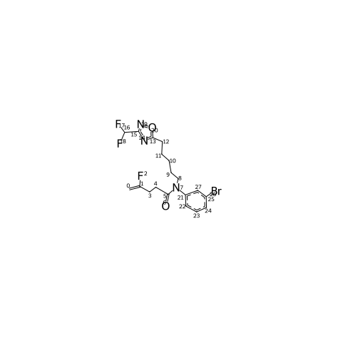 C=C(F)CCC(=O)N(CCCCCc1nc(C(F)F)no1)c1cccc(Br)c1